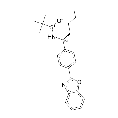 CCCC[C@H](N[S+]([O-])C(C)(C)C)c1ccc(-c2nc3ccccc3o2)cc1